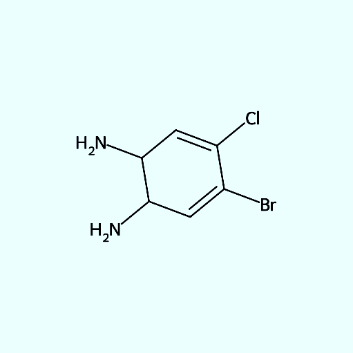 NC1C=C(Cl)C(Br)=CC1N